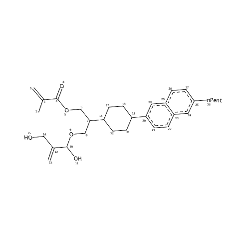 C=C(C)C(=O)OCC(COC(O)C(=C)CO)C1CCC(c2ccc3cc(CCCCC)ccc3c2)CC1